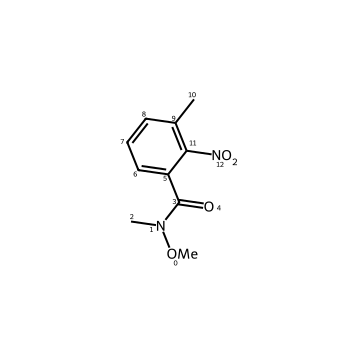 CON(C)C(=O)c1cccc(C)c1[N+](=O)[O-]